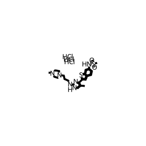 Cc1cnc(NCCCN2CCN(C)CC2)nc1-c1cc2ccc(NS(C)(=O)=O)cc2s1.Cl.Cl.Cl